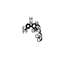 CC1c2c([nH]c3ccc(C(F)(F)F)cc23)C[C@H]2CCN(CCCN3CCOC3=O)C[C@H]12